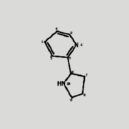 [c]1cccnc1C1CCCN1